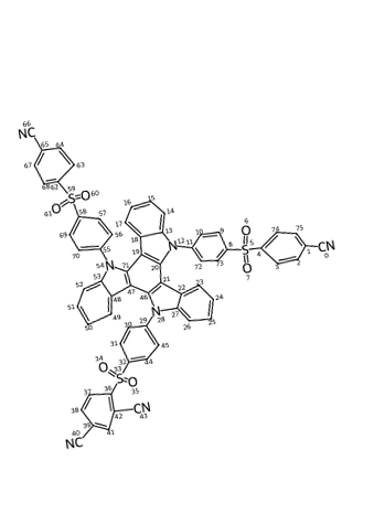 N#Cc1ccc(S(=O)(=O)c2ccc(-n3c4ccccc4c4c3c3c5ccccc5n(-c5ccc(S(=O)(=O)c6ccc(C#N)cc6C#N)cc5)c3c3c5ccccc5n(-c5ccc(S(=O)(=O)c6ccc(C#N)cc6)cc5)c43)cc2)cc1